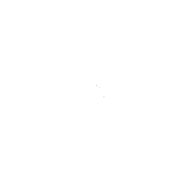 CCN1OC(C)(C)C(C)(C)O1